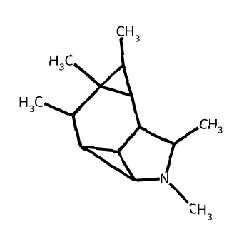 CC1C2C3C(C3N1C)C(C)C1(C)C(C)C21